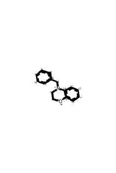 c1ccc(CN2CCOc3ccccc32)cc1